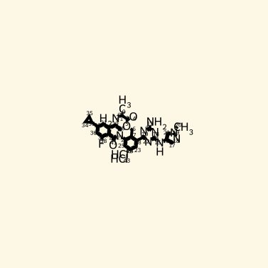 C[C@H](N)C(=O)OCc1c(-c2nc(N)nc(Nc3cnn(C)c3)n2)cccc1-n1ccc2cc(C3CC3)cc(F)c2c1=O.Cl.Cl